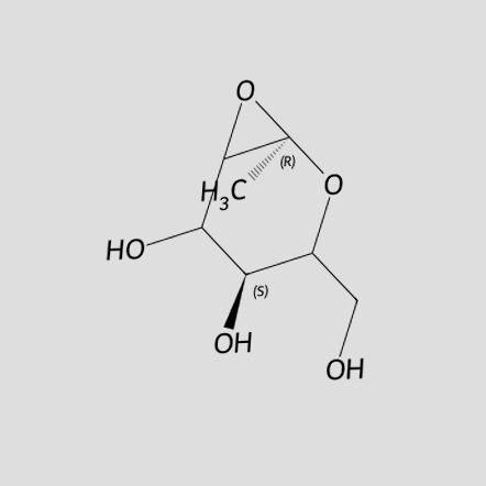 C[C@]12OC(CO)[C@@H](O)C(O)C1O2